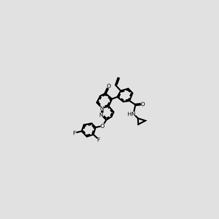 C=Cc1ccc(C(=O)NC2CC2)cc1-c1c(=O)ccn2nc(Oc3ccc(F)cc3F)ccc12